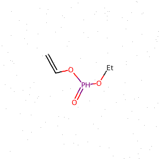 C=CO[PH](=O)OCC